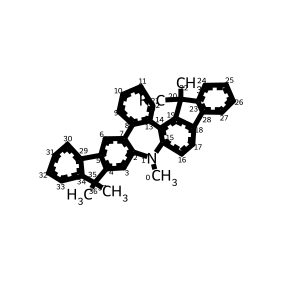 CN1c2cc3c(cc2-c2ccccc2-c2c1ccc1c2C(C)(C)c2ccccc2-1)-c1ccccc1C3(C)C